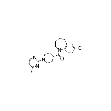 Cc1ccnc(N2CCC(C(=O)N3CCCCc4cc(Cl)ccc43)CC2)n1